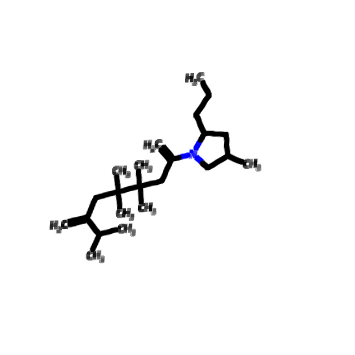 C=C(CC(C)(C)C(C)(C)CC(=C)N1CC(C)CC1CCC)C(C)C